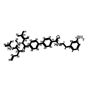 Bc1cccc(CCNC(=O)c2ccc(-c3ccc(/C(CC(C)=C(C)C)=N/C(CC=C)/C(=N/C)NC(=C)C)cc3)cc2)c1